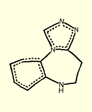 c1ccc2c(c1)NCCc1nncn1-2